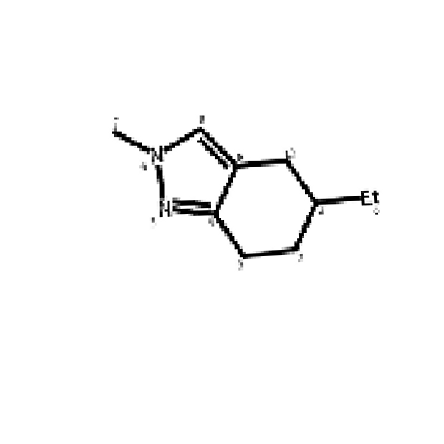 CCC1CCc2nn(C)cc2C1